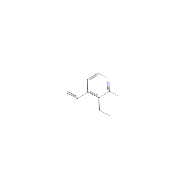 C=Cc1ccnc(Cl)c1CC